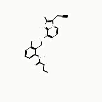 C#CCc1c(C)nc2c(OCc3c(C)cccc3NC(=O)CCC)cccn12